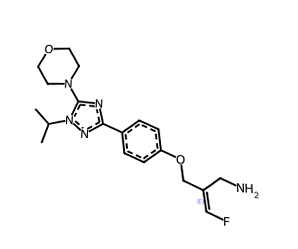 CC(C)n1nc(-c2ccc(OC/C(=C/F)CN)cc2)nc1N1CCOCC1